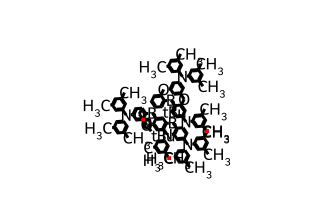 Cc1cc(C)cc(N(c2cc(C)cc(C)c2)c2cc3c4c(c2)Oc2cc5c(cc2B4c2cc(C(C)(C)C)ccc2O3)B2c3cc4c(cc3N(c3cc(C)cc(C)c3)c3cc(N(c6cc(C)cc(C)c6)c6cc(C)cc(C)c6)cc(c32)N5c2cc(C)cc(C)c2)Oc2cc(N(c3cc(C)cc(C)c3)c3cc(C)cc(C)c3)cc3c2B4c2c(cccc2C(C)(C)C)O3)c1